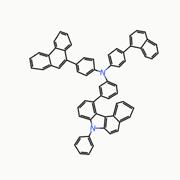 c1ccc(-n2c3cccc(-c4cccc(N(c5ccc(-c6cccc7ccccc67)cc5)c5ccc(-c6cc7ccccc7c7ccccc67)cc5)c4)c3c3c4ccccc4ccc32)cc1